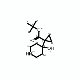 CC(C)(C)OC(=O)C1(C2(O)CCNCC2)CC1